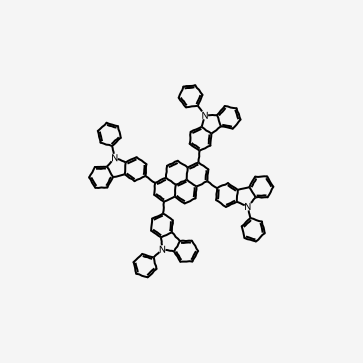 c1ccc(-n2c3ccccc3c3cc(-c4cc(-c5ccc6c(c5)c5ccccc5n6-c5ccccc5)c5ccc6c(-c7ccc8c(c7)c7ccccc7n8-c7ccccc7)cc(-c7ccc8c(c7)c7ccccc7n8-c7ccccc7)c7ccc4c5c76)ccc32)cc1